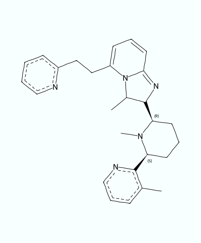 Cc1cccnc1[C@@H]1CCC[C@H](C2N=C3C=CC=C(CCc4ccccn4)N3C2C)N1C